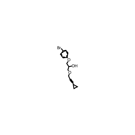 OC(COCC#CC1CC1)COc1ccc(Br)cc1